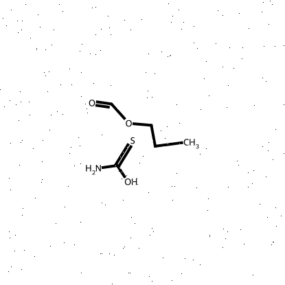 CCCOC=O.NC(O)=S